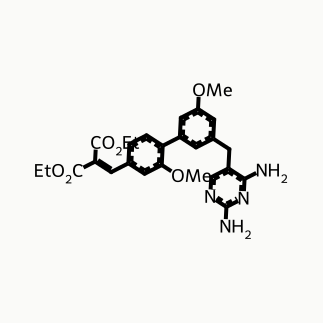 CCOC(=O)C(=Cc1ccc(-c2cc(Cc3cnc(N)nc3N)cc(OC)c2)c(OC)c1)C(=O)OCC